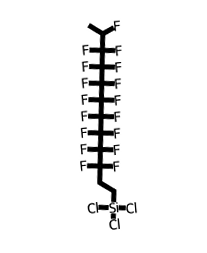 CC(F)C(F)(F)C(F)(F)C(F)(F)C(F)(F)C(F)(F)C(F)(F)C(F)(F)C(F)(F)CC[Si](Cl)(Cl)Cl